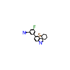 N#Cc1cc(F)cc(-c2ccc3c(c2)C2(C=N3)CCCCC2=S)c1